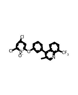 Cc1cnc2c(C(F)(F)F)cccc2c1-c1cccc(Oc2cc(Cl)cc(Cl)[n+]2[O-])c1